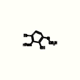 CCCCCc1c(CC)ccc(OC(=O)O)c1O